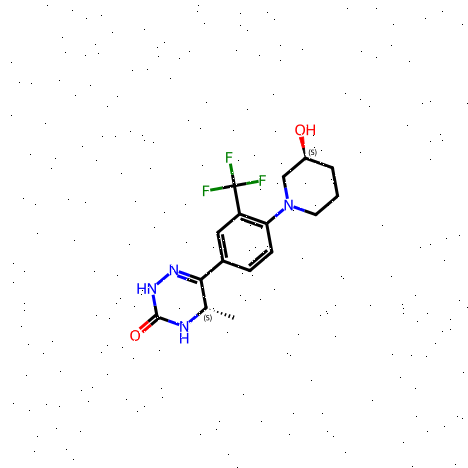 C[C@@H]1NC(=O)NN=C1c1ccc(N2CCC[C@H](O)C2)c(C(F)(F)F)c1